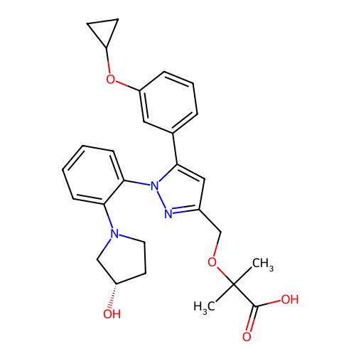 CC(C)(OCc1cc(-c2cccc(OC3CC3)c2)n(-c2ccccc2N2CC[C@H](O)C2)n1)C(=O)O